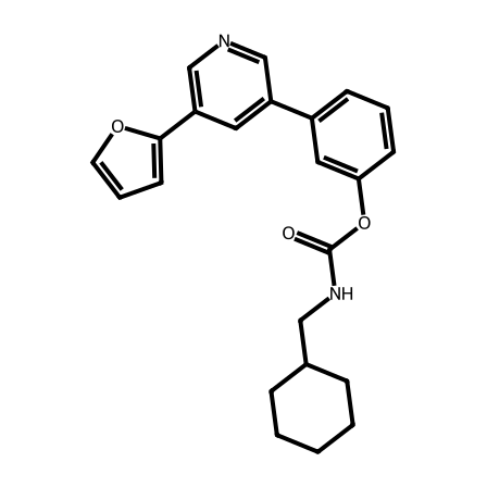 O=C(NCC1CCCCC1)Oc1cccc(-c2cncc(-c3ccco3)c2)c1